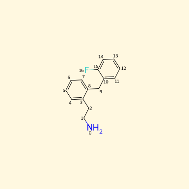 NCCc1ccccc1Cc1ccccc1F